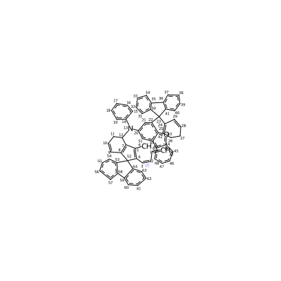 C=C/C=C\C1=C(C)C2=C(C=CCC2N(c2ccccc2)c2cc(C3(C4=CCCC=C4)c4ccccc4-c4ccccc43)c3oc4ccccc4c3c2)C12c1ccccc1-c1ccccc12